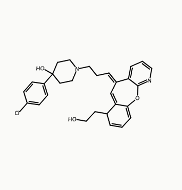 OCCC1C=CC=C2Oc3ncccc3C(=CCCN3CCC(O)(c4ccc(Cl)cc4)CC3)C=C21